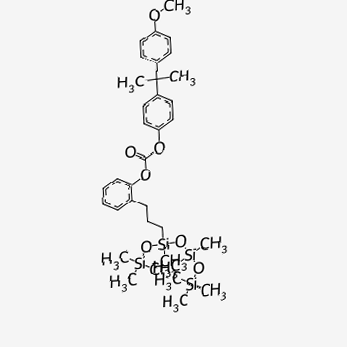 COc1ccc(C(C)(C)c2ccc(OC(=O)Oc3ccccc3CCC[Si](C)(O[Si](C)(C)C)O[Si](C)(C)O[Si](C)(C)C)cc2)cc1